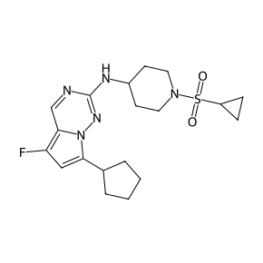 O=S(=O)(C1CC1)N1CCC(Nc2ncc3c(F)cc(C4CCCC4)n3n2)CC1